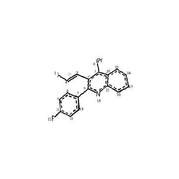 CC(C)c1c(/C=C/I)c(-c2ccc(F)cc2)nc2ccccc12